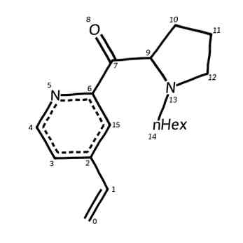 C=Cc1ccnc(C(=O)C2CCCN2CCCCCC)c1